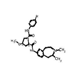 CO[C@@H]1C[C@H](C(=O)Nc2ccc3c(c2)CCN(C)C(C)C3)N(C(=O)Nc2ccc(Br)cc2)C1